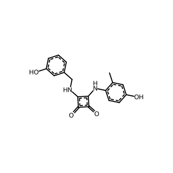 Cc1cc(O)ccc1Nc1c(NCc2cccc(O)c2)c(=O)c1=O